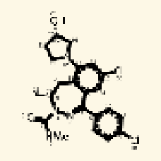 CNC(=O)N1N=C(c2ccc(Cl)cc2)c2cc(Cl)cc(N3CC[C@H](O)C3)c2C[C@@H]1C